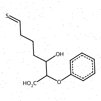 O=C(O)C(Oc1ccccc1)C(O)CCCC=S